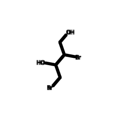 OCC(Br)C(O)CBr